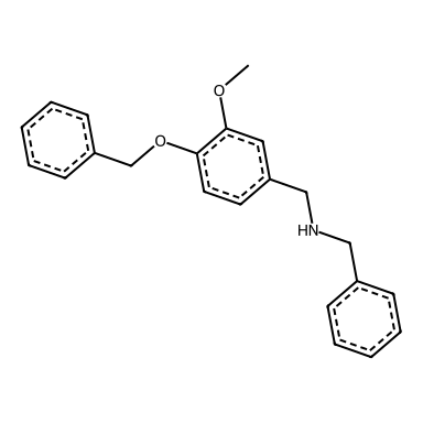 COc1cc(CNCc2ccccc2)ccc1OCc1ccccc1